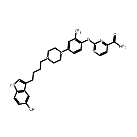 N#Cc1ccc2[nH]cc(CCCCN3CCN(c4ccc(Oc5nccc(C(N)=O)n5)c(C(F)(F)F)c4)CC3)c2c1